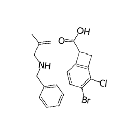 C=C(C)CNCc1ccccc1.O=C(O)C1Cc2c1ccc(Br)c2Cl